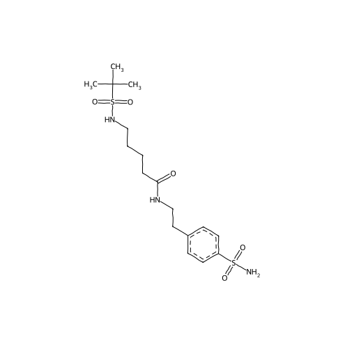 CC(C)(C)S(=O)(=O)NCCCCC(=O)NCCc1ccc(S(N)(=O)=O)cc1